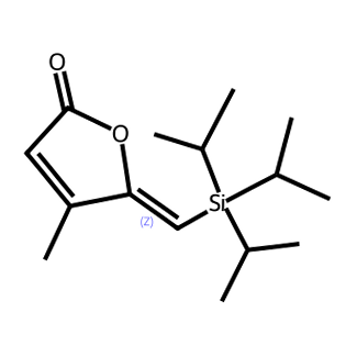 CC1=CC(=O)O/C1=C\[Si](C(C)C)(C(C)C)C(C)C